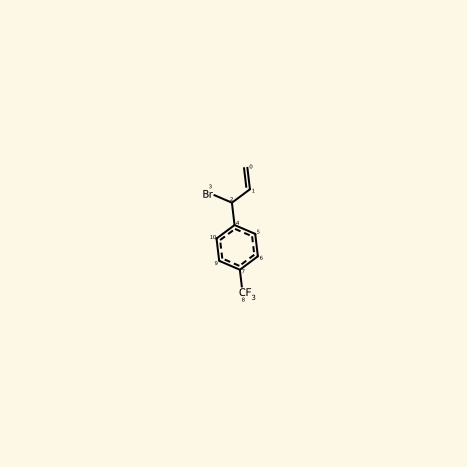 C=CC(Br)c1ccc(C(F)(F)F)cc1